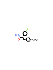 CSc1ccc(C=C(C(N)=O)c2ccc(F)cc2)cc1